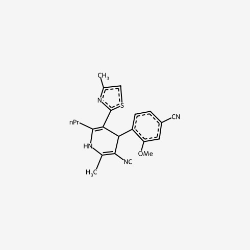 [C-]#[N+]C1=C(C)NC(CCC)=C(c2nc(C)cs2)C1c1ccc(C#N)cc1OC